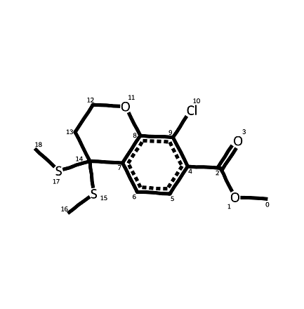 COC(=O)c1ccc2c(c1Cl)OCCC2(SC)SC